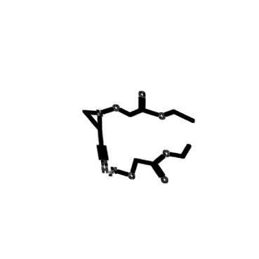 CCOC(=O)CON.CCOC(=O)CON1CC1C#N